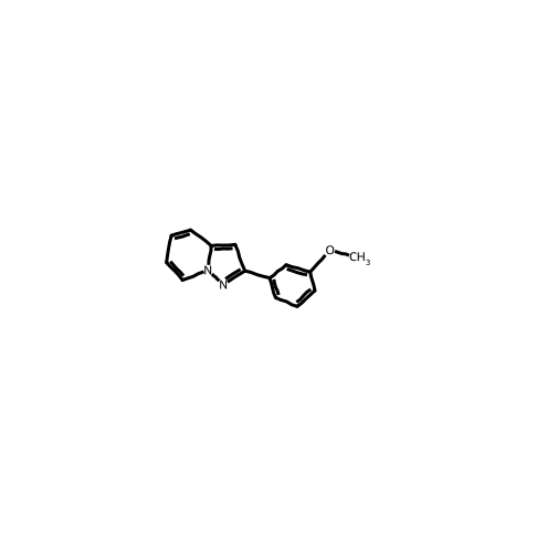 COc1cccc(-c2cc3ccccn3n2)c1